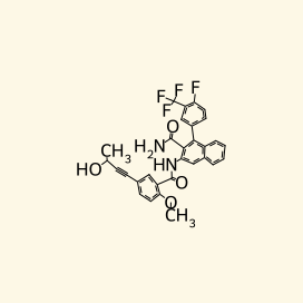 COc1ccc(C#CC(C)O)cc1C(=O)Nc1cc2ccccc2c(-c2ccc(F)c(C(F)(F)F)c2)c1C(N)=O